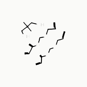 C=CCOCOC(=O)C=C.C=CCOCOC(=O)C=C.CC(C)(CO)CO